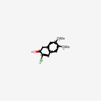 COc1cc2c(cc1OC)CC(=O)C(Br)=C2